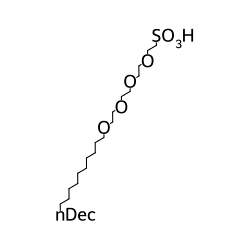 CCCCCCCCCCCCCCCCCCCCOCCOCCOCCOCCS(=O)(=O)O